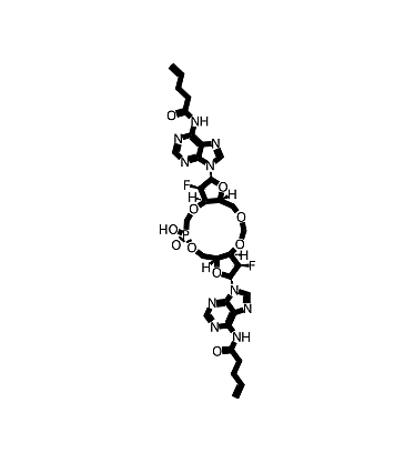 C=CCCC(=O)Nc1ncnc2c1ncn2[C@@H]1O[C@@H]2COCO[C@H]3[C@@H](F)[C@H](n4cnc5c(NC(=O)CCC=C)ncnc54)O[C@@H]3COP(=O)(O)CO[C@H]2[C@H]1F